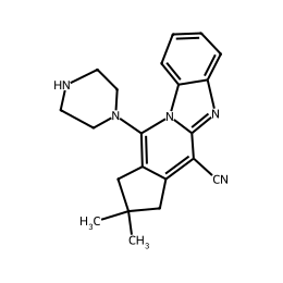 CC1(C)Cc2c(c(N3CCNCC3)n3c(nc4ccccc43)c2C#N)C1